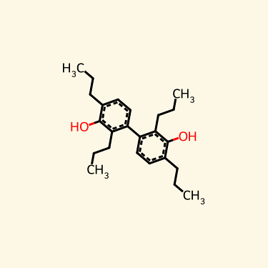 CCCc1ccc(-c2ccc(CCC)c(O)c2CCC)c(CCC)c1O